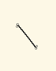 COC(=O)CCCCCCCCCCCCCCCCCCCCCCCCC(=O)OC